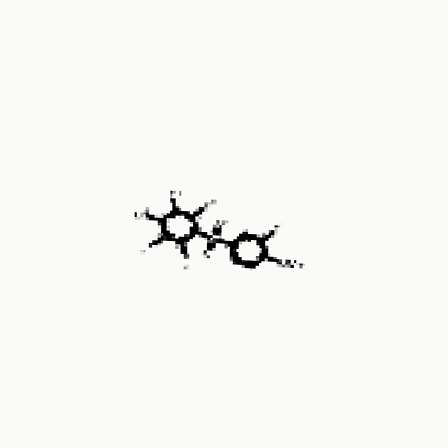 COc1ccc(S(=O)(=O)c2c(F)c(F)c(Br)c(F)c2F)cc1F